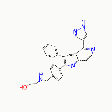 OCCNCc1ccc(-c2nc3ccnc(-c4cn[nH]c4)c3cc2-c2ccccc2)cc1